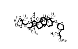 CCO[C@@H]([C@H]1C[C@@H](C)[C@H]2[C@H](O1)[C@H](O)[C@@]1(C)[C@@H]3CC[C@H]4C(C)(C)C(O[C@H]5CN([C@H](C)COC)CCO5)CC[C@@]45C[C@@]35CC[C@]21C)C(C)(C)O